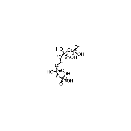 O=P(O)(O)OP(=O)(O)OCOP(=O)(O)OP(=O)(O)O